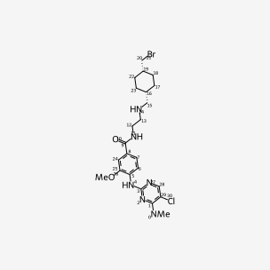 CNc1nc(Nc2ccc(C(=O)NCCNC[C@H]3CC[C@@H](CBr)CC3)cc2OC)ncc1Cl